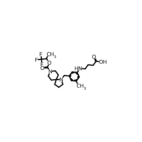 Cc1cc(CN2CCCC23CCN(C(=O)OC(C)C(F)(F)F)CC3)cc(NCCCC(=O)O)c1